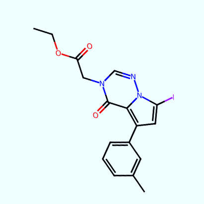 CCOC(=O)Cn1cnn2c(I)cc(-c3cccc(C)c3)c2c1=O